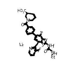 CCNC(=O)Nc1nc2c(F)c(-c3ccc(C(=O)N4CCCC(C(=O)O)C4)cc3)cc(-c3ncccc3F)c2s1.[Li]